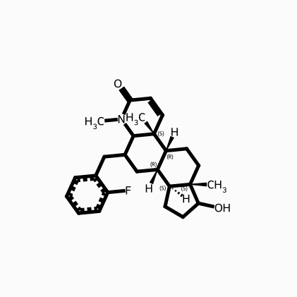 CN1C(=O)C=C[C@@]2(C)C1C(Cc1ccccc1F)C[C@@H]1[C@H]2CC[C@]2(C)C(O)CC[C@@H]12